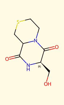 O=C1N[C@H](CO)C(=O)N2CCSCC12